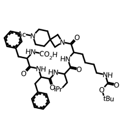 CC(=O)N1CCC2(CC1)CN(C(=O)C(CCCCNC(=O)OC(C)(C)C)NC(=O)C(CC(C)C)NC(=O)C(Cc1ccccc1)NC(=O)C(Cc1ccccc1)NC(=O)O)C2